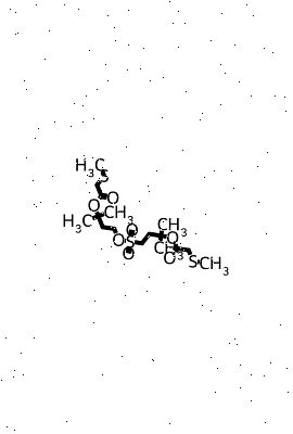 CSCC(=O)OC(C)(C)CCOS(=O)(=O)CCC(C)(C)OC(=O)CSC